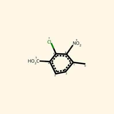 Cc1ccc(C(=O)O)c(Cl)c1[N+](=O)[O-]